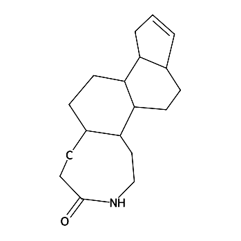 O=C1CCC2CCC3C4CC=CC4CCC3C2CCN1